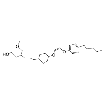 CCCCCc1ccc(O/C=C\OC2CCC(CCCC(CCO)COC)CC2)cc1